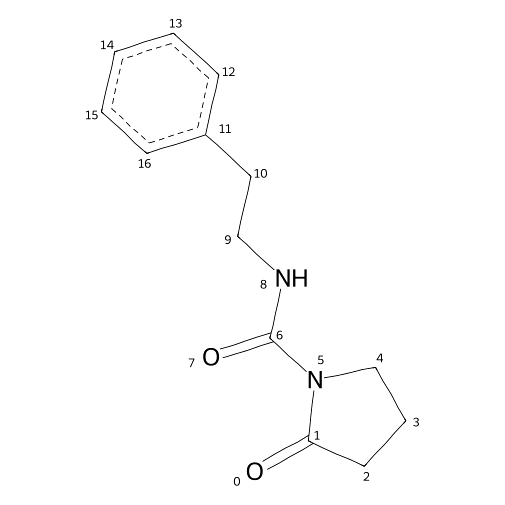 O=C1CCCN1C(=O)NCCc1ccccc1